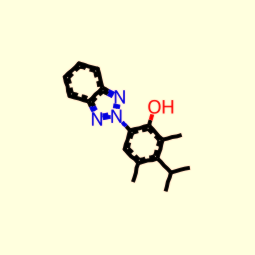 Cc1cc(-n2nc3ccccc3n2)c(O)c(C)c1C(C)C